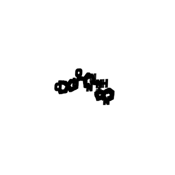 O=C(c1cnc(N[C@H]2CCc3ncccc32)nc1)N1CCC2(CCOCC2)C1